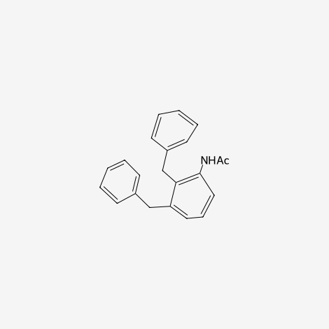 CC(=O)Nc1cccc(Cc2ccccc2)c1Cc1ccccc1